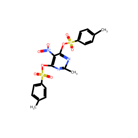 Cc1ccc(S(=O)(=O)Oc2nc(C)nc(OS(=O)(=O)c3ccc(C)cc3)c2[N+](=O)[O-])cc1